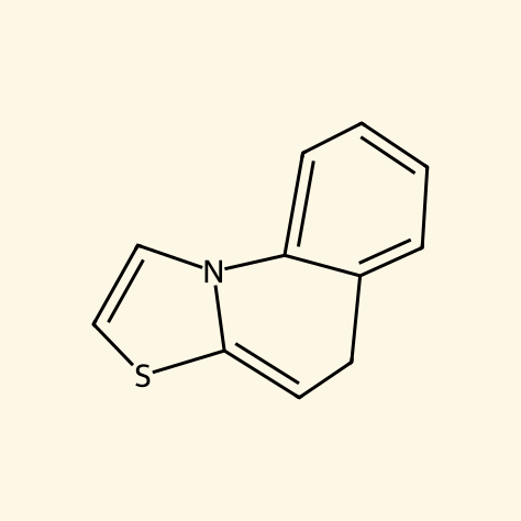 C1=CN2C(=CCc3ccccc32)S1